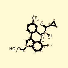 CCN(Cc1cc(C(F)(F)F)ccc1-c1cn(CC(=O)O)c2ccc(F)c(F)c12)C(=O)C1CC1